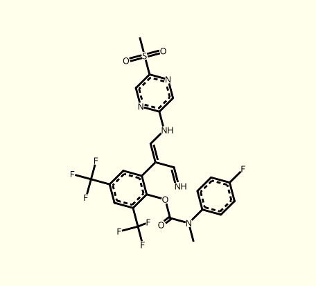 CN(C(=O)Oc1c(/C(C=N)=C/Nc2cnc(S(C)(=O)=O)cn2)cc(C(F)(F)F)cc1C(F)(F)F)c1ccc(F)cc1